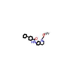 CCCOCCN1CCCc2ccc(NC(=O)c3ccc(-c4ccccc4)cc3)cc21